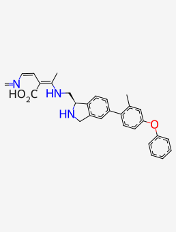 C=N/C=C\C(C(=O)O)=C(/C)NC[C@@H]1NCc2cc(-c3ccc(Oc4ccccc4)cc3C)ccc21